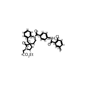 CCOC(=O)CN1CCC2(CCN(C(=O)c3ccc(NC(=O)c4cc(F)ccc4Cl)cc3)c3ccccc3C2)C1=O